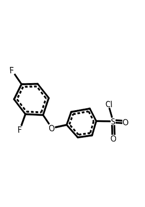 O=S(=O)(Cl)c1ccc(Oc2ccc(F)cc2F)cc1